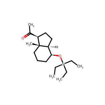 CC[Si](CC)(CC)O[C@H]1CCC[C@]2(C)[C@@H](C(C)=O)CC[C@@H]12